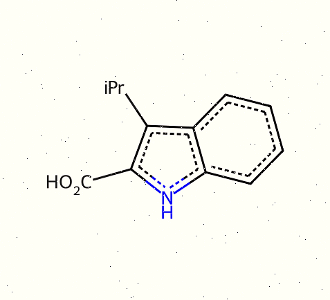 CC(C)c1c(C(=O)O)[nH]c2ccccc12